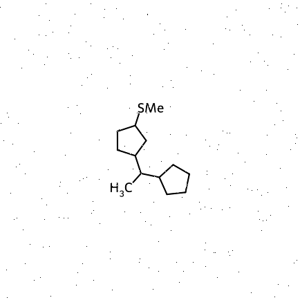 CSC1CCC(C(C)C2CCCC2)C1